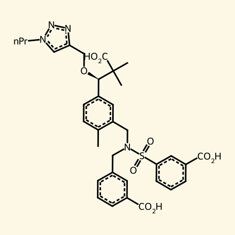 CCCn1cc(CO[C@H](c2ccc(C)c(CN(Cc3cccc(C(=O)O)c3)S(=O)(=O)c3cccc(C(=O)O)c3)c2)C(C)(C)C(=O)O)nn1